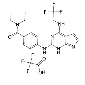 CCN(CC)C(=O)c1ccc(Nc2nc(NCC(F)(F)F)c3ccnc-3[nH]2)cc1.O=C(O)C(F)(F)F